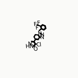 O=c1[nH]ncc(C2=Cc3nnn(Cc4ccccc4C(F)(F)F)c3CC2)c1Cl